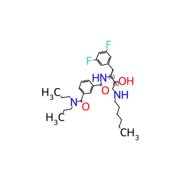 CCCCCCNC[C@H](O)[C@H](Cc1cc(F)cc(F)c1)NC(=O)c1cccc(C(=O)N(CCC)CCC)c1